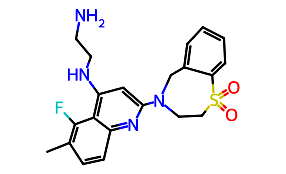 Cc1ccc2nc(N3CCS(=O)(=O)c4ccccc4C3)cc(NCCN)c2c1F